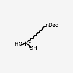 CCCCCCCCCCCCCCCCCCCCCC[N+](C)(CCO)CCO